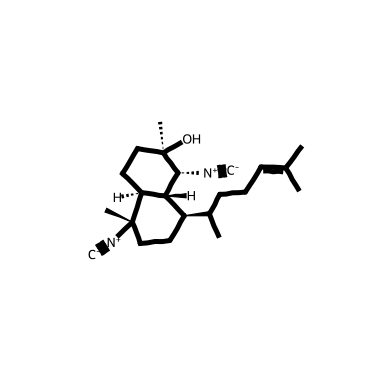 [C-]#[N+][C@@H]1[C@@H]2[C@@H](C(C)CCC=C(C)C)CC[C@](C)([N+]#[C-])[C@H]2CC[C@@]1(C)O